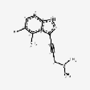 CN(C)CC#Cc1n[nH]c2ncc(Br)c(N)c12